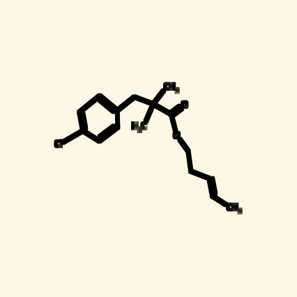 C/C=C/CCOC(=O)C(C)(C)Cc1ccc(Cl)cc1